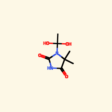 CC(O)(O)N1C(=O)NC(=O)C1(C)C